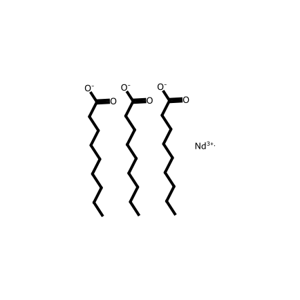 CCCCCCCCC(=O)[O-].CCCCCCCCC(=O)[O-].CCCCCCCCC(=O)[O-].[Nd+3]